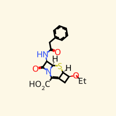 CCO[C@H]1CC2=C(C(=O)O)N3C(=O)[C@@H](NC(=O)Cc4ccccc4)[C@H]3S[C@H]21